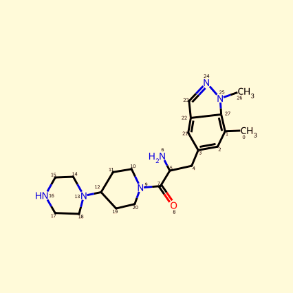 Cc1cc(CC(N)C(=O)N2CCC(N3CCNCC3)CC2)cc2cnn(C)c12